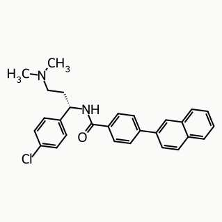 CN(C)CC[C@H](NC(=O)c1ccc(-c2ccc3ccccc3c2)cc1)c1ccc(Cl)cc1